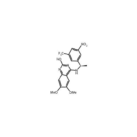 COc1cc2nc(O)nc(N[C@H](C)c3cc([N+](=O)[O-])cc(C(F)(F)F)c3)c2cc1OC